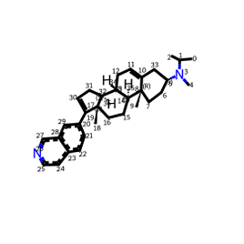 CC(C)N(C)[C@H]1CC[C@@]2(C)C(=CC[C@@H]3[C@@H]2CC[C@]2(C)C(c4ccc5ccncc5c4)=CC[C@@H]32)C1